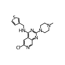 CN1CCN(c2nc(NCc3ccsc3)c3cc(Cl)ncc3n2)CC1